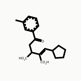 Cc1cccc(C(=O)CC(C(=O)O)C(=CC2CCCC2)C(=O)O)c1